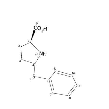 O=C(O)[C@@H]1CCC(Sc2ccccc2)N1